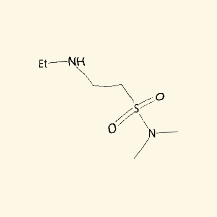 CCNCCS(=O)(=O)N(C)C